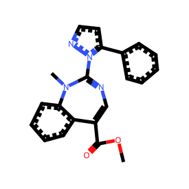 COC(=O)C1=CN=C(n2nccc2-c2ccccc2)N(C)c2ccccc21